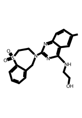 Cc1ccc2nc(N3CCS(=O)(=O)c4ccccc4C3)nc(NCCO)c2c1